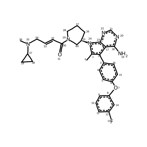 Cc1c(-c2ccc(Oc3cccc(F)c3)cc2)c2c(N)ncnc2n1[C@@H]1CCCN(C(=O)C=CCN(C)C2CC2)C1